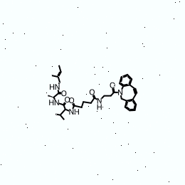 C/C=C(\C)CNC(=O)[C@H](C)NC(=O)C(NC(=O)CCCC(=O)NCCC(=O)N1Cc2ccccc2C#Cc2ccccc21)C(C)C